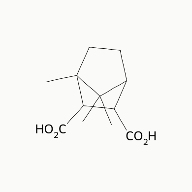 CC1(C)C2CCC1(C)C(C(=O)O)C2C(=O)O